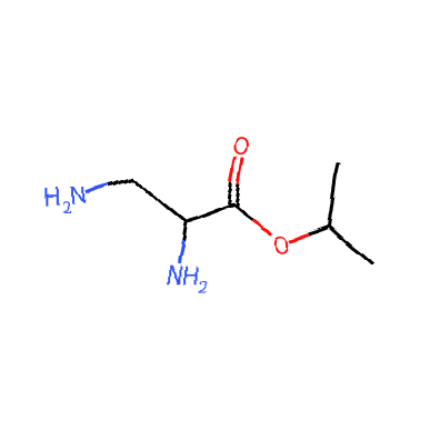 CC(C)OC(=O)C(N)CN